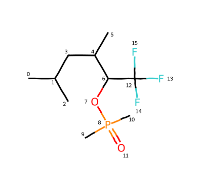 CC(C)CC(C)C(OP(C)(C)=O)C(F)(F)F